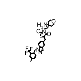 Cc1ccc(Cn2ncc3cc(/C=C4\SC(=O)N(CCC5(N)CCOCC5)C4=O)ccc32)c(C(F)(F)F)c1